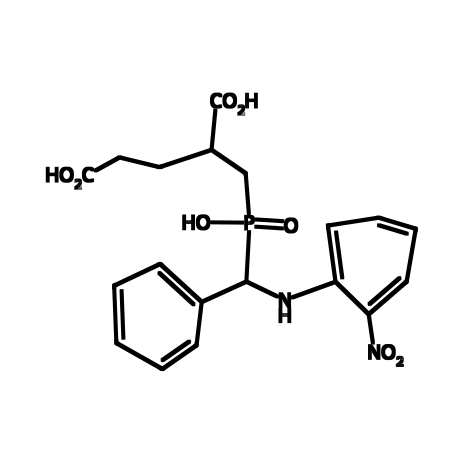 O=C(O)CCC(CP(=O)(O)C(Nc1ccccc1[N+](=O)[O-])c1ccccc1)C(=O)O